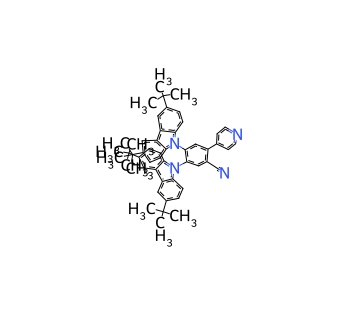 CC(C)(C)c1ccc2c(c1)c1cc(C(C)(C)C)ccc1n2-c1cc(C#N)c(-c2ccncc2)cc1-n1c2ccc(C(C)(C)C)cc2c2cc(C(C)(C)C)ccc21